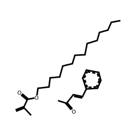 C=C(C)C(=O)OCCCCCCCCCCCCCC.CC(=O)C=Cc1ccccc1